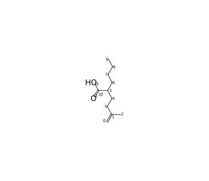 C=C(C)CCC(CCCC)C(=O)O